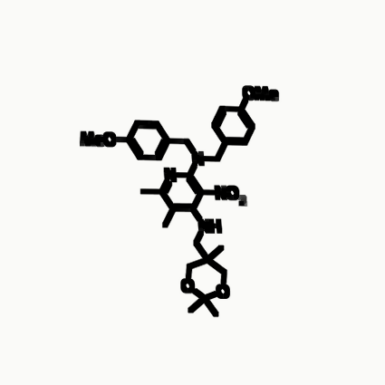 COc1ccc(CN(Cc2ccc(OC)cc2)c2nc(C)c(C)c(NCC3(C)COC(C)(C)OC3)c2[N+](=O)[O-])cc1